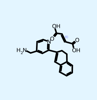 NCc1ccnc(C2=Cc3ccccc3CC2)c1.O=C(O)/C=C/C(=O)O